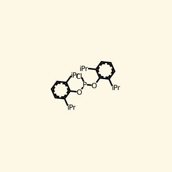 CC(C)c1cccc(C(C)C)c1OP(Cl)Oc1c(C(C)C)cccc1C(C)C